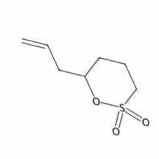 C=CCC1CCCS(=O)(=O)O1